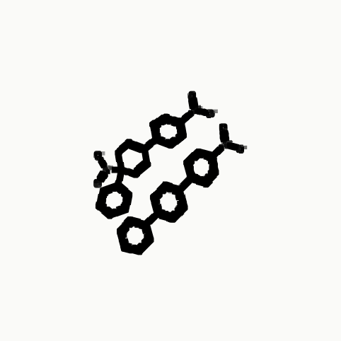 O=[N+]([O-])c1ccc(-c2ccc(-c3ccccc3)cc2)cc1.O=[N+]([O-])c1ccc(C2=CCC(c3ccccc3)([N+](=O)[O-])C=C2)cc1